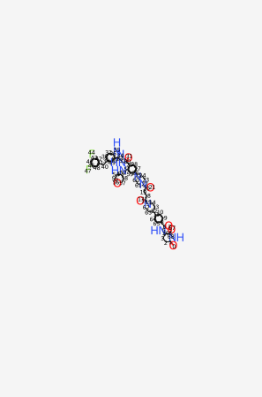 O=C1CCC(NC(=O)c2ccc(C3CCN(C(=O)CCC(=O)N4CCN(c5ccc(C(=O)Nc6n[nH]c7ccc(Cc8cc(F)cc(F)c8)cc67)c(NC6CCOCC6)c5)CC4)CC3)cc2)C(=O)N1